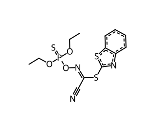 CCOP(=S)(OCC)ON=C(C#N)Sc1nc2ccccc2s1